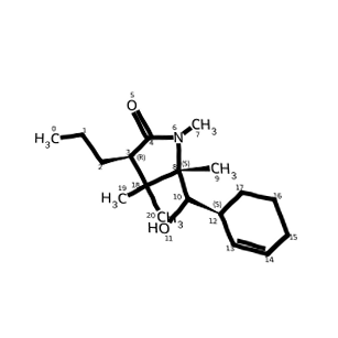 CCC[C@H]1C(=O)N(C)[C@](C)(C(O)[C@@H]2C=CCCC2)C1(C)C